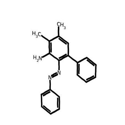 Cc1cc(-c2ccccc2)c(N=Nc2ccccc2)c(N)c1C